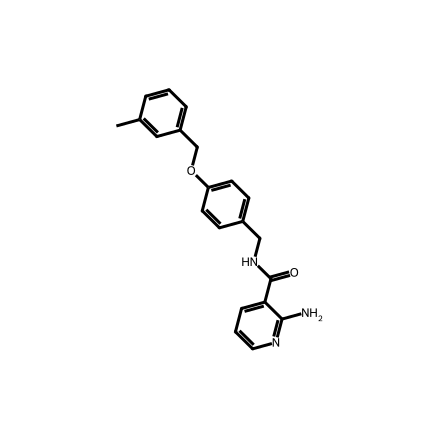 Cc1cccc(COc2ccc(CNC(=O)c3cccnc3N)cc2)c1